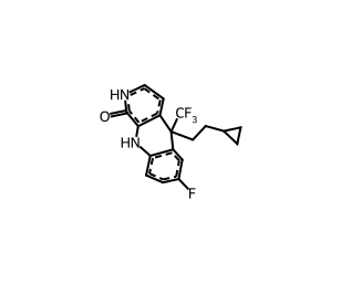 O=c1[nH]ccc2c1Nc1ccc(F)cc1C2(CCC1CC1)C(F)(F)F